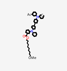 COCCCCCCCCCCOC(=O)c1cccc(N(c2ccccc2)c2ccc(-c3ccc(N(c4ccccc4)c4cccc(C(C)=O)c4)cc3)cc2)c1